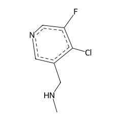 CNCc1cncc(F)c1Cl